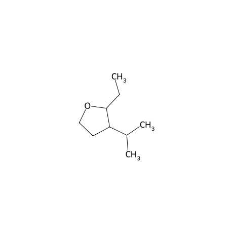 CCC1OCCC1C(C)C